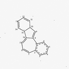 C1=Cc2ccccc2C2=CC3C=CC=CC3C2=C1